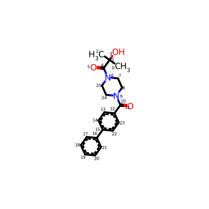 CC(C)(O)C(=O)N1CCN(C(=O)c2ccc(-c3ccccc3)cc2)CC1